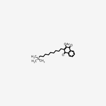 CC(=O)OC1=C(CCCCCCCCC[Si](C)(C)C)C(=O)c2ccccc2C1=O